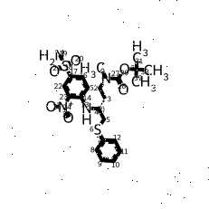 CN(CC[C@H](CSc1ccccc1)Nc1ccc(S(N)(=O)=O)cc1[N+](=O)[O-])C(=O)OC(C)(C)C